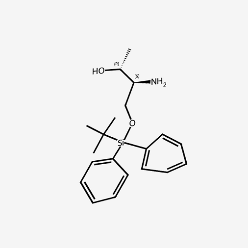 C[C@@H](O)[C@@H](N)CO[Si](c1ccccc1)(c1ccccc1)C(C)(C)C